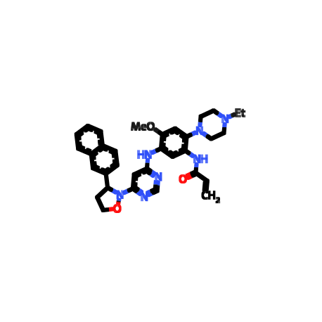 C=CC(=O)Nc1cc(Nc2cc(N3OCCC3c3ccc4ccccc4c3)ncn2)c(OC)cc1N1CCN(CC)CC1